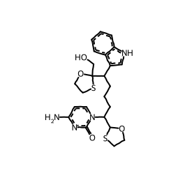 Nc1ccn(C(CCCC(c2c[nH]c3ccccc23)C2(CO)OCCS2)C2OCCS2)c(=O)n1